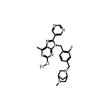 CCOc1nc(C)c2nc(-c3cncnc3)n(Cc3ccc(CN4CC5CC4CN5C)cc3F)c2n1